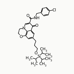 CC(C)[Si](OCCCc1cc2c3c(c1)c(=O)c(C(=O)NCc1ccc(Cl)cc1)cn3CCO2)(C(C)C)C(C)C